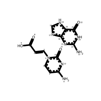 Nc1ccn(C=CC(=O)O)c(=O)n1.Nc1nc2nc[nH]c2c(=O)[nH]1